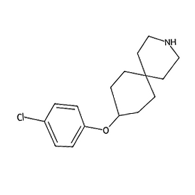 Clc1ccc(OC2CCC3(CCNCC3)CC2)cc1